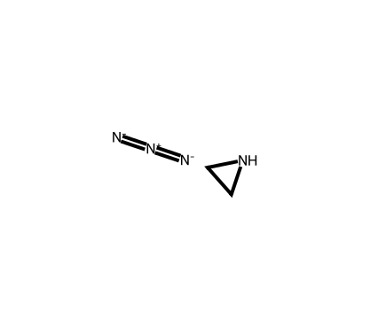 C1CN1.[N-]=[N+]=[N-]